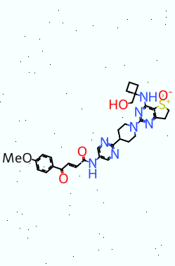 COc1ccc(C(=O)/C=C/C(=O)Nc2cnc(C3CCN(c4nc5c(c(NC6(CO)CCC6)n4)[S@+]([O-])CC5)CC3)nc2)cc1